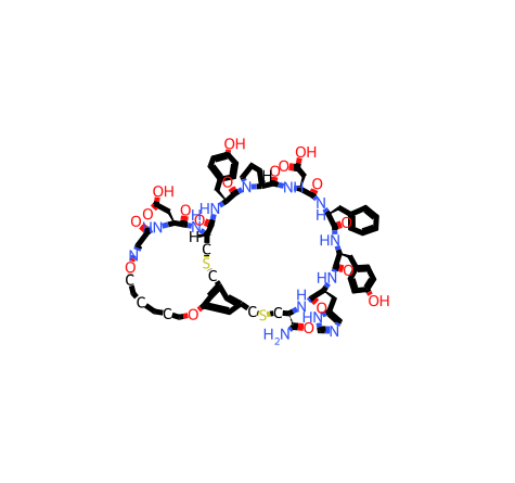 NC(=O)[C@@H]1CSCc2cc3cc(c2)OCCCCCCO/N=C/C(=O)N[C@@H](CC(=O)O)C(=O)N[C@@H](CSC3)C(=O)N[C@@H](Cc2ccc(O)cc2)C(=O)N2CCC[C@H]2C(=O)N[C@@H](CC(=O)O)C(=O)N[C@@H](Cc2ccccc2)C(=O)N[C@@H](Cc2ccc(O)cc2)C(=O)N[C@@H](Cc2cnc[nH]2)C(=O)N1